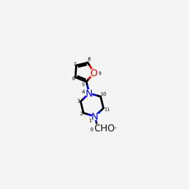 O=[C]N1CCN(c2ccco2)CC1